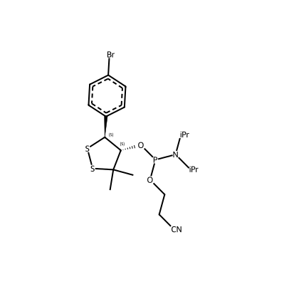 CC(C)N(C(C)C)P(OCCC#N)O[C@H]1[C@H](c2ccc(Br)cc2)SSC1(C)C